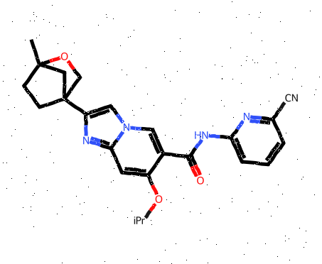 CC(C)Oc1cc2nc(C34CCC(C)(C3)OC4)cn2cc1C(=O)Nc1cccc(C#N)n1